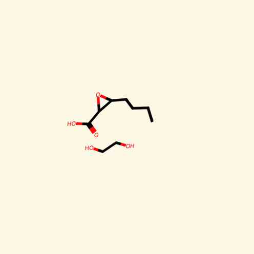 CCCCC1OC1C(=O)O.OCCO